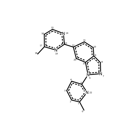 Cc1cccc(-n2ncc3ccc(-c4nccc(C)n4)cc32)n1